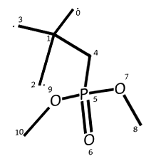 [CH2]C([CH2])([CH2])CP(=O)(OC)OC